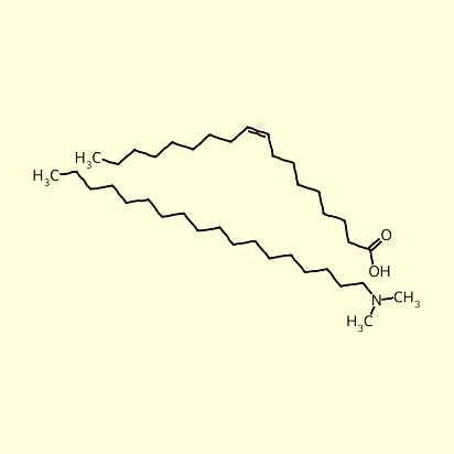 CCCCCCCC/C=C\CCCCCCCC(=O)O.CCCCCCCCCCCCCCCCCCN(C)C